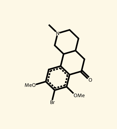 COc1cc2c(c(OC)c1Br)C(=O)CC1CCN(C)CC21